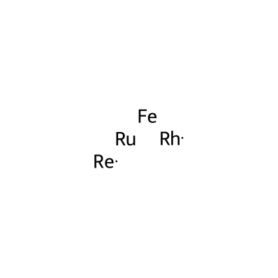 [Fe].[Re].[Rh].[Ru]